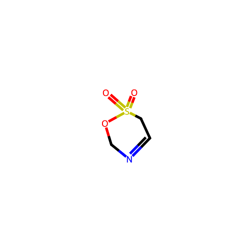 O=S1(=O)CC=NCO1